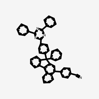 N#Cc1ccc(-c2cc3c(c4ccccc24)-c2ccccc2C3(c2ccccc2)c2ccc(-c3nc(-c4ccccc4)nc(-c4ccccc4)n3)cc2)cc1